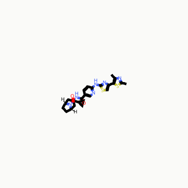 Cc1nc(C)c(-c2csc(Nc3ccc(C(=O)N[C@H]4C[C@H]5CC[C@@H](C4)N5C(=O)C4CC4)cn3)n2)s1